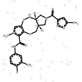 Cc1cc(C(=O)N2C[C@@H]3COc4c(cn(C)c4C(=O)Nc4ccc(F)c(C)c4)SN[C@@H]3C2)no1